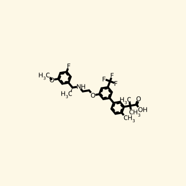 COc1cc(F)cc([C@@H](C)NCCOc2cc(-c3ccc(C)c(C(C)(C)C(=O)O)c3)cc(C(F)(F)F)c2)c1